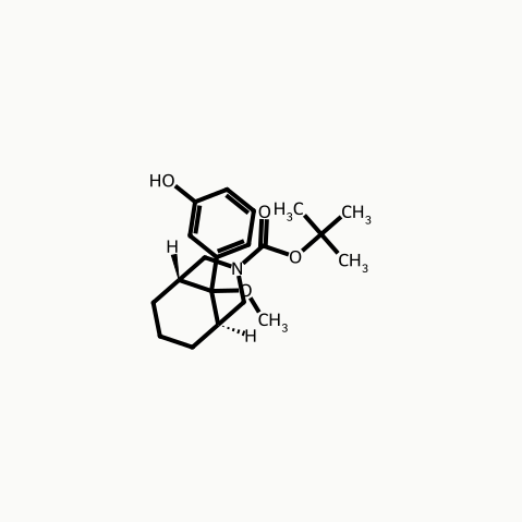 COC1(c2cccc(O)c2)[C@@H]2CCC[C@@H]1CN(C(=O)OC(C)(C)C)C2